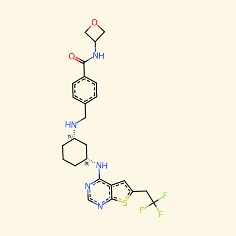 O=C(NC1COC1)c1ccc(CN[C@H]2CCC[C@@H](Nc3ncnc4sc(CC(F)(F)F)cc34)C2)cc1